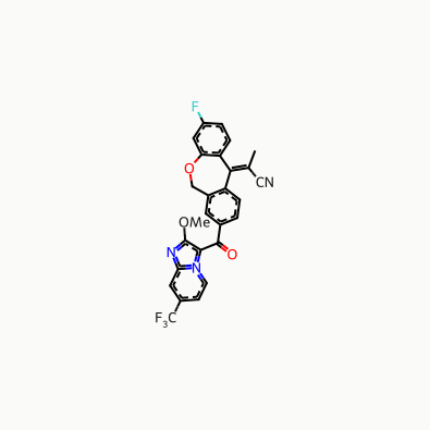 COc1nc2cc(C(F)(F)F)ccn2c1C(=O)c1ccc2c(c1)COc1cc(F)ccc1C2=C(C)C#N